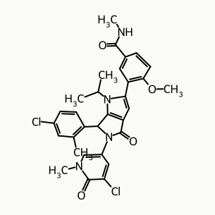 CNC(=O)c1ccc(OC)c(-c2cc3c(n2C(C)C)C(c2ccc(Cl)cc2C)N(c2cc(Cl)c(=O)n(C)c2)C3=O)c1